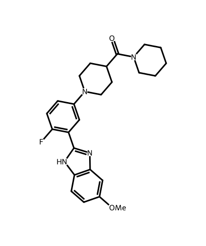 COc1ccc2[nH]c(-c3cc(N4CCC(C(=O)N5CCCCC5)CC4)ccc3F)nc2c1